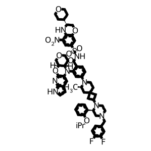 CC(C)Oc1ccccc1[C@@H]1CN(Cc2ccc(F)c(F)c2)CCN1C1CC2(CCN(c3ccc(C(=O)NS(=O)(=O)c4cc5c(c([N+](=O)[O-])c4)N[C@H](C4CCOCC4)CO5)c(N4c5cc6cc[nH]c6nc5O[C@H]5COCC[C@@H]54)c3)[C@H](C)C2)C1